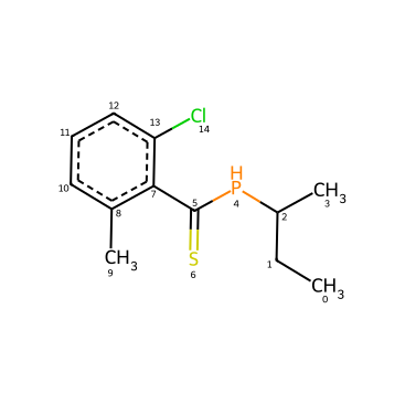 CCC(C)PC(=S)c1c(C)cccc1Cl